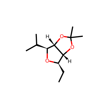 CC[C@H]1O[C@@H](C(C)C)[C@@H]2OC(C)(C)O[C@@H]21